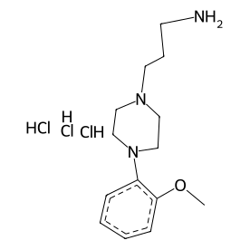 COc1ccccc1N1CCN(CCCN)CC1.Cl.Cl.Cl